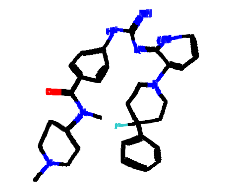 CN1CCC(N(C)C(=O)c2ccc(NC(=N)/N=c3\[nH]cccc3N3CCC(F)(c4ccccc4)CC3)cc2)CC1